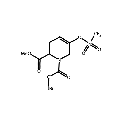 COC(=O)C1CC=C(OS(=O)(=O)C(F)(F)F)CN1C(=O)OC(C)(C)C